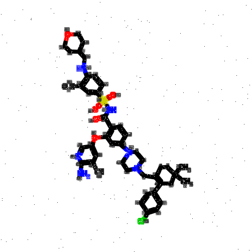 CC1(C)CCC(CN2CCN(c3ccc(C(=O)NS(=O)(=O)c4ccc(NCC5CCOCC5)c([N+](=O)[O-])c4)c(Oc4cnc(N)c(C#N)c4)c3)CC2)=C(c2ccc(Cl)cc2)C1